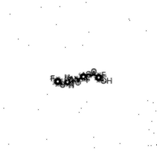 O=C(COc1ccc(C(=O)CN2C[C@H]3C[C@H](Oc4ccc(F)cc4)C[C@H]3C2)cc1F)c1ccc(O)c(F)c1